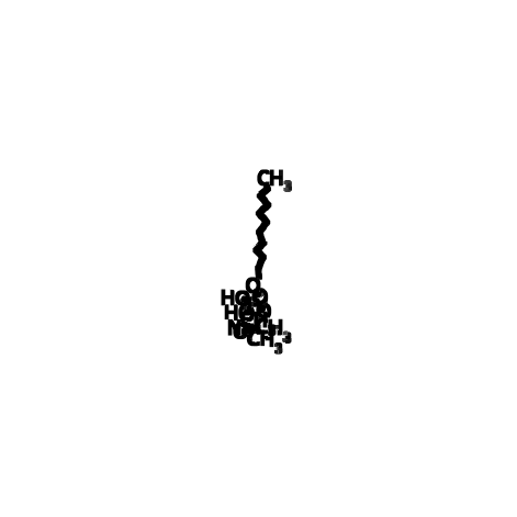 CC(C)(C)[O-].CCCCCCCCCCCCOOP(=O)(O)O.[Na+]